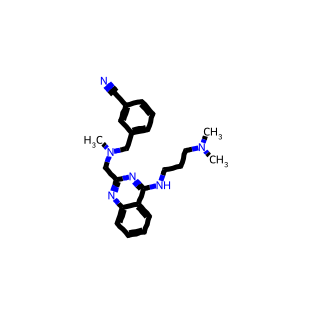 CN(C)CCCNc1nc(CN(C)Cc2cccc(C#N)c2)nc2ccccc12